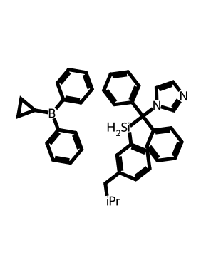 CC(C)Cc1cccc([SiH2]C(c2ccccc2)(c2ccccc2)n2ccnc2)c1.c1ccc(B(c2ccccc2)C2CC2)cc1